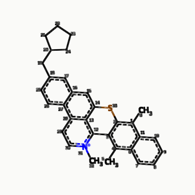 Cc1c2c(c(C)c3ccccc13)-c1c3c(cc4cc(CC5CCCC5)ccc4c3cc[n+]1C)S2